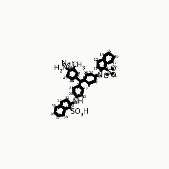 Cc1cc(C(=C2C=CC(=Nc3ccc4ccccc4c3S(=O)(=O)[O-])C=C2)c2ccc(Nc3ccc4ccccc4c3S(=O)(=O)O)cc2)ccc1N.[Na+]